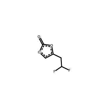 O=c1occ(CC(F)F)o1